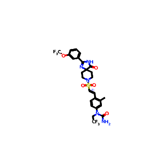 Cc1cc(N(CC(F)(F)F)C(N)=O)ccc1/C=C/S(=O)(=O)N1CCC2(CC1)N=C(c1cccc(OC(F)(F)F)c1)NC2=O